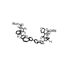 COC(=O)NC(C(=O)N1[C@@H]2C[C@@H]2C[C@H]1c1ncc(-c2ccc(-c3ccc4c(ccc5nc([C@@H]6[C@H]7CC[C@H](C7)N6C(=O)[C@@H](NC(=O)OC)C(C)C)[nH]c54)c3)cc2)[nH]1)C1CCOCC1